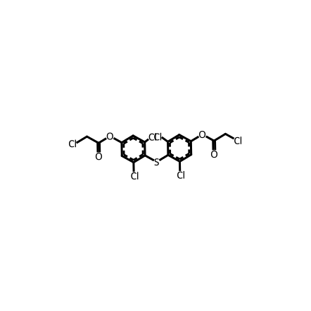 O=C(CCl)Oc1cc(Cl)c(Sc2c(Cl)cc(OC(=O)CCl)cc2Cl)c(Cl)c1